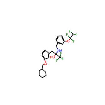 OC(Cc1cccc(OCC2CCCCC2)c1)(NCc1cccc(OC(F)(F)C(F)F)c1)C(F)(F)F